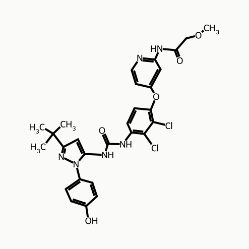 COCC(=O)Nc1cc(Oc2ccc(NC(=O)Nc3cc(C(C)(C)C)nn3-c3ccc(O)cc3)c(Cl)c2Cl)ccn1